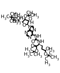 CC(C)(C)OC(=O)CC[C@H](NC(=O)Nc1ncnc2c1ncn2[C@@H]1O[C@H](CO[Si](C)(C)C(C)(C)C)[C@H]2OC(C)(C)O[C@H]21)C(=O)OC(C)(C)C